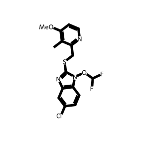 COc1ccnc(CSc2nc3cc(Cl)ccc3n2OC(F)F)c1C